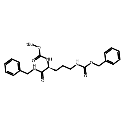 CC(C)(C)OC(=O)N[C@@H](CCCNC(=O)OCc1ccccc1)C(=O)NCc1ccccc1